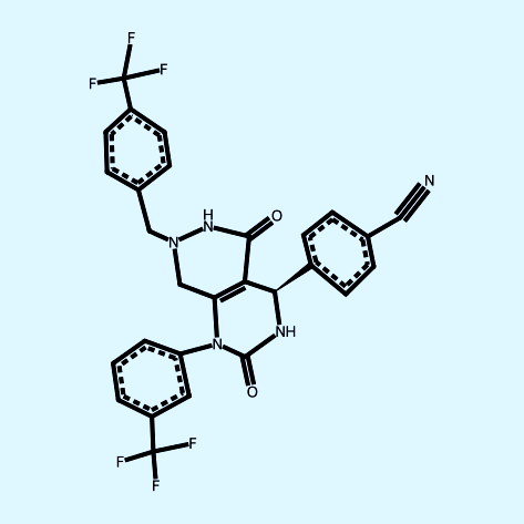 N#Cc1ccc([C@H]2NC(=O)N(c3cccc(C(F)(F)F)c3)C3=C2C(=O)NN(Cc2ccc(C(F)(F)F)cc2)C3)cc1